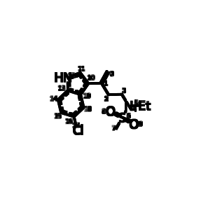 C=C(CCN(CC)S(C)(=O)=O)c1c[nH]c2ccc(Cl)cc12